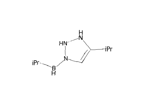 CC(C)BN1C=C(C(C)C)NN1